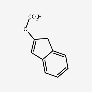 O=C(O)OC1=Cc2ccccc2C1